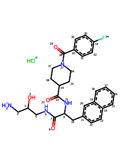 Cl.NCC(O)CNC(=O)C(Cc1ccc2ccccc2c1)NC(=O)C1CCN(C(=O)c2ccc(F)cc2)CC1